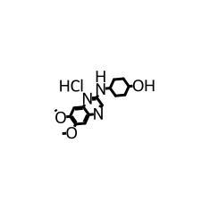 COc1cc2ncc(NC3CCC(O)CC3)nc2cc1OC.Cl